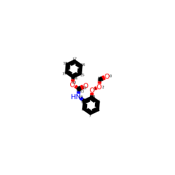 O=COOc1ccccc1NC(=O)Oc1ccccc1